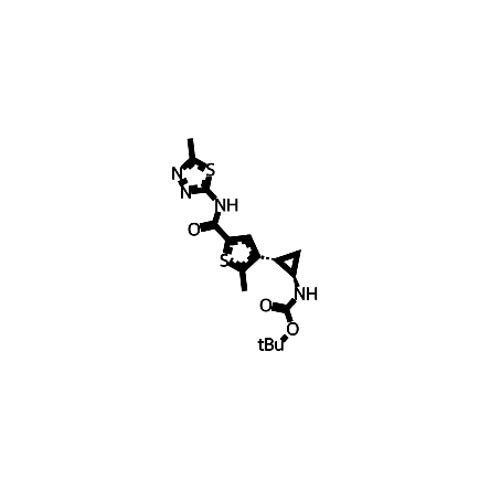 Cc1nnc(NC(=O)c2cc([C@@H]3C[C@H]3NC(=O)OC(C)(C)C)c(C)s2)s1